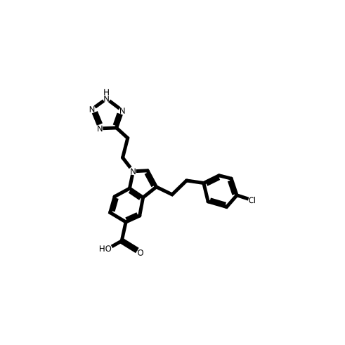 O=C(O)c1ccc2c(c1)c(CCc1ccc(Cl)cc1)cn2CCc1nn[nH]n1